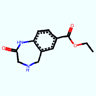 CCOC(=O)c1ccc2c(c1)CNCC(=O)N2